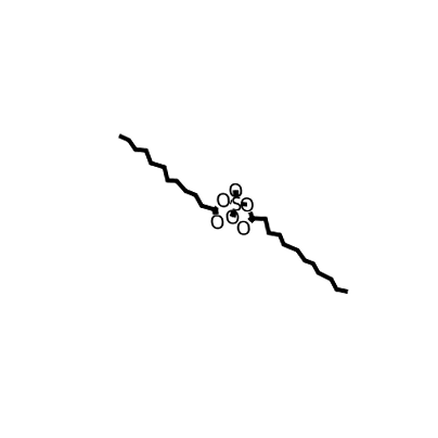 CCCCCCCCCCCC(=O)OS(=O)(=O)OC(=O)CCCCCCCCCCC